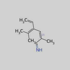 C=CC(/C=C(/C)C=N)=C(C)C